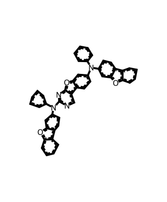 c1ccc(N(c2ccc3c(c2)oc2ccccc23)c2ccc3c(c2)oc2nc(N(c4ccccc4)c4ccc5c(c4)oc4ccccc45)ncc23)cc1